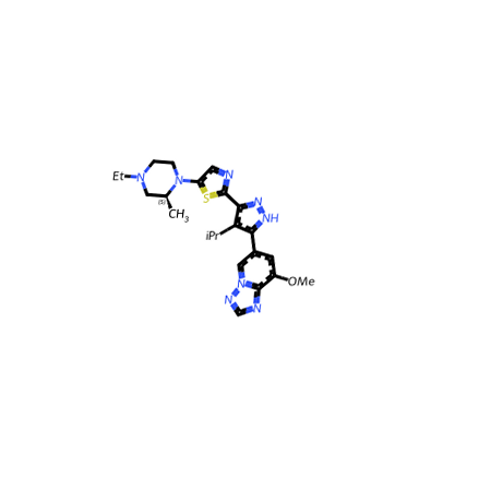 CCN1CCN(c2cnc(-c3n[nH]c(-c4cc(OC)c5ncnn5c4)c3C(C)C)s2)[C@@H](C)C1